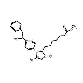 COC(=O)CCCCCC[C@@H]1[C@@H](c2ccc(C(O)Cc3ccccc3)cc2)[C@H](O)C[C@H]1Cl